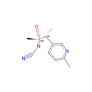 Cc1ccc([C@@H](C)[S@@](C)(=O)=NC#N)cn1